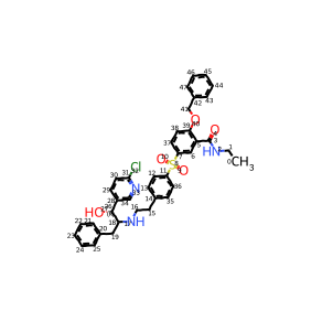 CCNC(=O)c1cc(S(=O)(=O)c2ccc(CCNC(Cc3ccccc3)[C@H](O)c3ccc(Cl)nc3)cc2)ccc1OCc1ccccc1